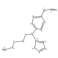 CCCCCCOc1ccc(C(CCCCO)c2nccs2)cc1